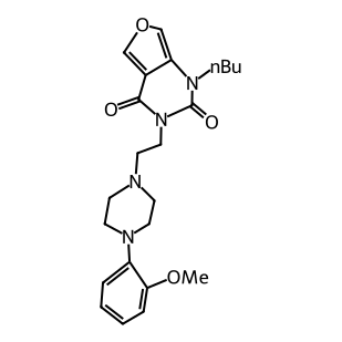 CCCCn1c(=O)n(CCN2CCN(c3ccccc3OC)CC2)c(=O)c2cocc21